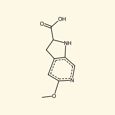 COc1cc2c(cn1)NC(C(=O)O)C2